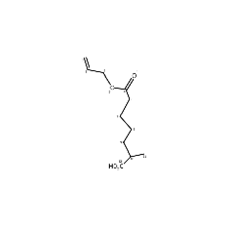 C=CCOC(=O)CCCCC(C)C(=O)O